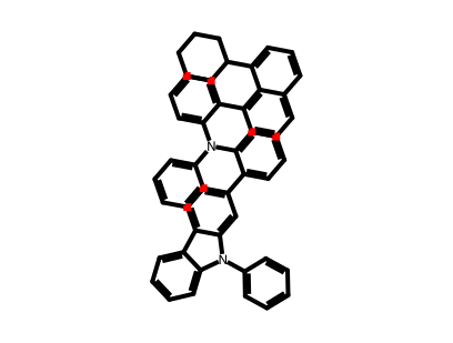 c1ccc(N(c2ccccc2-c2ccc3c4ccccc4n(-c4ccccc4)c3c2)c2ccccc2-c2cccc3cccc(C4CCCCC4)c23)cc1